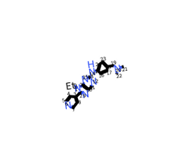 CCn1c(-c2ccncc2)nc2cnc(Nc3ccc(CN(C)C)cc3)nc21